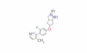 Cc1ccncc1-c1ccc(OC2CC3CN(C(C)C)NC3C2)cc1F